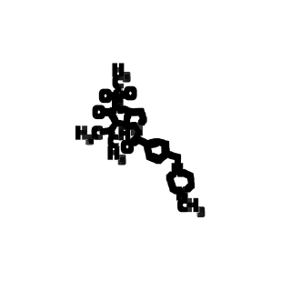 CC(C)[C@H]1C(=O)N(S(C)(=O)=O)C2=CCN(C(=O)c3ccc(CN4CCN(C)CC4)cc3)[C@@H]21